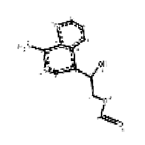 Nc1ncc(C(O)COC=O)c2cccnc12